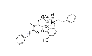 CC(=O)O[C@@]12CCC(N(C)C(=O)/C=C/c3ccccc3)C3Oc4c(O)ccc5c4[C@@]31CCN(CCc1ccccc1)[C@@H]2C5